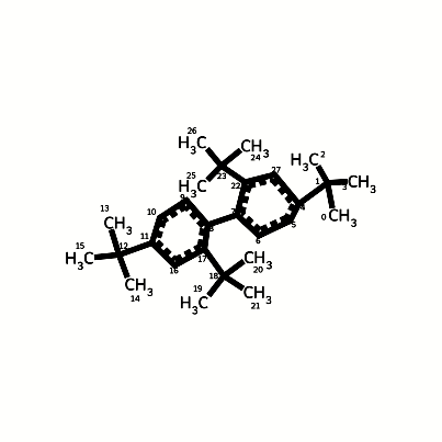 CC(C)(C)c1ccc(-c2ccc(C(C)(C)C)cc2C(C)(C)C)c(C(C)(C)C)c1